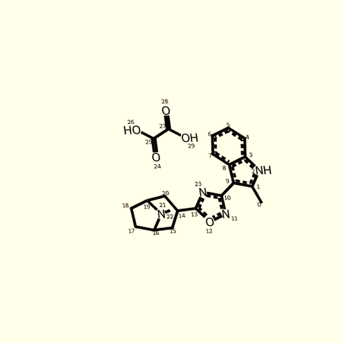 Cc1[nH]c2ccccc2c1-c1noc(C2CC3CCC(C2)N3C)n1.O=C(O)C(=O)O